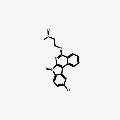 CCN(CC)CCOc1nc2c(c3ccccc13)c1cc(Cl)ccc1n2C